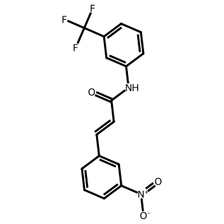 O=C(C=Cc1cccc([N+](=O)[O-])c1)Nc1cccc(C(F)(F)F)c1